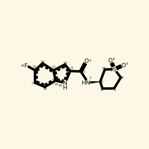 O=C(N[C@@H]1CCCS(=O)(=O)C1)c1cc2cc(F)ccc2[nH]1